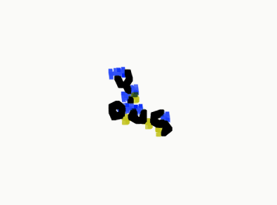 c1ccc(Sc2cc(Sc3ccnc4ccsc34)cnc2Nc2nc(C3CCNCC3)ns2)cc1